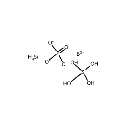 O=P([O-])([O-])[O-].O[Si](O)(O)O.[B+3].[SiH4]